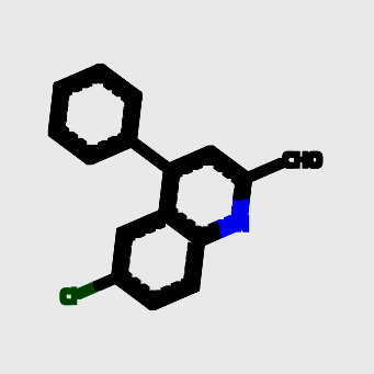 O=Cc1cc(-c2ccccc2)c2cc(Cl)ccc2n1